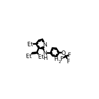 CC/C=C(\CC)c1c(CC)ccnc1Nc1ccc(OC(F)(F)P)cc1